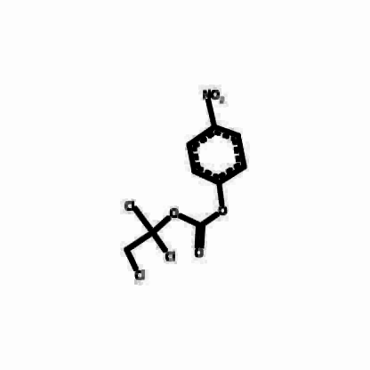 O=C(Oc1ccc([N+](=O)[O-])cc1)OC(Cl)(Cl)CCl